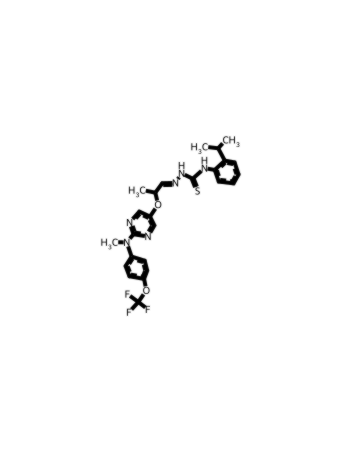 CC(/C=N/NC(=S)Nc1ccccc1C(C)C)Oc1cnc(N(C)c2ccc(OC(F)(F)F)cc2)nc1